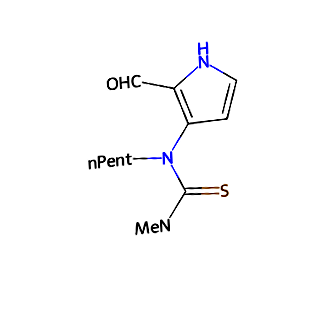 CCCCCN(C(=S)NC)c1cc[nH]c1C=O